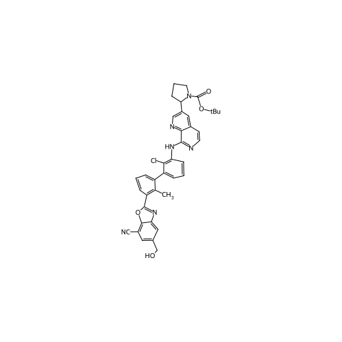 Cc1c(-c2nc3cc(CO)cc(C#N)c3o2)cccc1-c1cccc(Nc2nccc3cc(C4CCCN4C(=O)OC(C)(C)C)cnc23)c1Cl